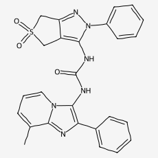 Cc1cccn2c(NC(=O)Nc3c4c(nn3-c3ccccc3)CS(=O)(=O)C4)c(-c3ccccc3)nc12